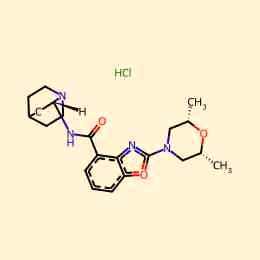 C[C@@H]1CN(c2nc3c(C(=O)N[C@@H]4CC5CCN4CC5)cccc3o2)C[C@H](C)O1.Cl